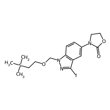 CS(C)(C)CCOCn1nc(I)c2cc(N3CCOC3=O)ccc21